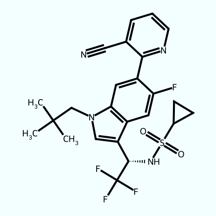 CC(C)(C)Cn1cc([C@H](NS(=O)(=O)C2CC2)C(F)(F)F)c2cc(F)c(-c3ncccc3C#N)cc21